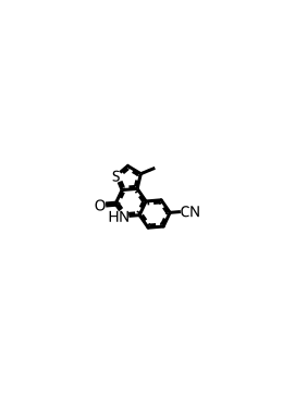 Cc1csc2c(=O)[nH]c3ccc(C#N)cc3c12